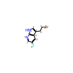 Fc1cnc2[nH]cc(CCBr)c2c1